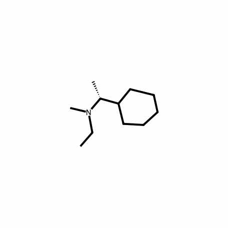 CCN(C)[C@H](C)C1CCCCC1